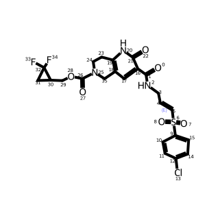 O=C(NC/C=C/S(=O)(=O)c1ccc(Cl)cc1)c1cc2c([nH]c1=O)CCN(C(=O)OCC1CC1(F)F)C2